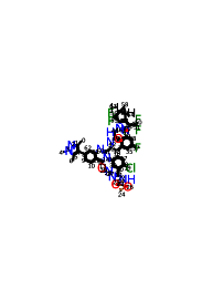 Cc1nn(C)c(C)c1-c1ccc2c(=O)n(-c3ccc(Cl)c4c(NS(C)(=O)=O)nn(C)c34)c([C@H](Cc3cc(F)cc(F)c3)NC(=O)Cn3nc(C(F)F)c4c3C(F)(F)[C@@H]3C[C@H]43)nc2c1